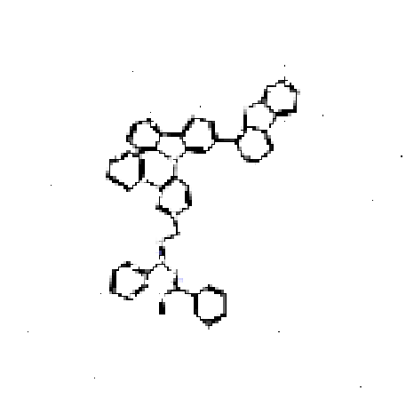 C=N/C(=N\C(=N/Cc1ccc(-n2c3ccccc3c3ccc(-c4cccc5c4sc4ccccc45)cc32)c(-c2ccccc2)c1)c1ccccc1)c1ccccc1